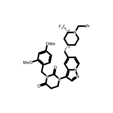 COc1ccc(CN2C(=O)CCN(c3cnn4ccc(C[C@H]5CCN(CC(C)C)[C@@H](C(F)(F)F)C5)cc34)C2=O)c(OC)c1